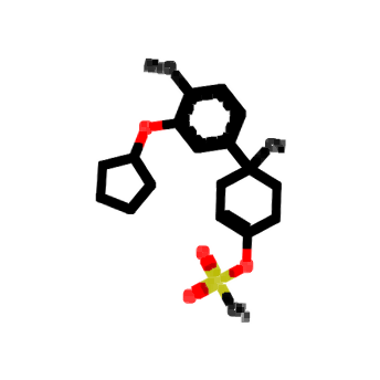 COc1ccc(C2(C#N)CC=C(OS(=O)(=O)C(F)(F)F)CC2)cc1OC1CCCC1